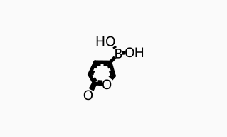 O=c1ccc(B(O)O)co1